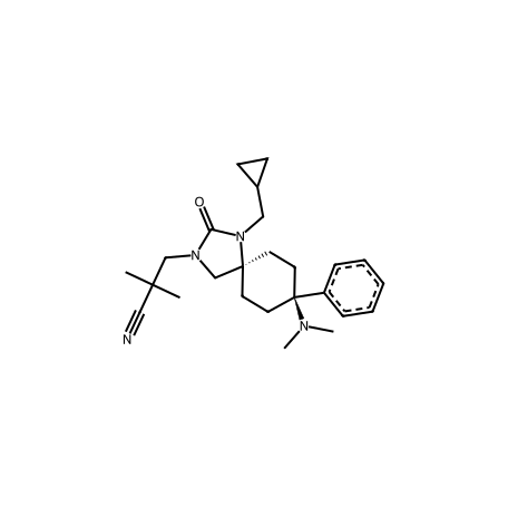 CN(C)[C@]1(c2ccccc2)CC[C@]2(CC1)CN(CC(C)(C)C#N)C(=O)N2CC1CC1